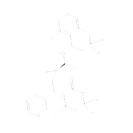 CC1(C)CC(=O)N([C@H](c2cccnc2)[C@@H]2C[C@H]2C(=O)NC2CC(C)(C)Oc3cccc(F)c32)C(=N)N1